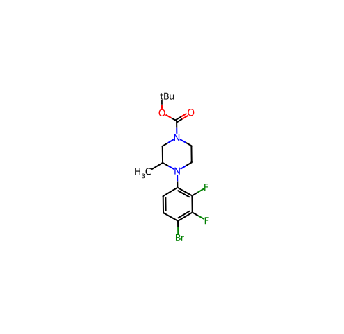 CC1CN(C(=O)OC(C)(C)C)CCN1c1ccc(Br)c(F)c1F